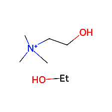 CCO.C[N+](C)(C)CCO